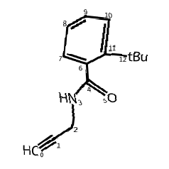 C#CCNC(=O)c1ccccc1C(C)(C)C